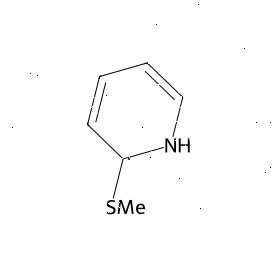 CS[C]1C=CC=CN1